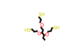 CCC(OCCCS)C(CCOCCCS)OCCCS